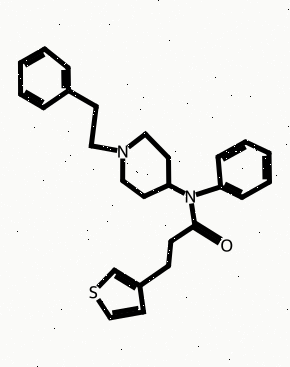 O=C(CCc1ccsc1)N(c1ccccc1)C1CCN(CCc2ccccc2)CC1